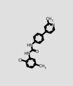 Cc1ccc(Cl)c(NC(=O)Nc2ccc(-c3ccnc(C)c3)cc2)c1